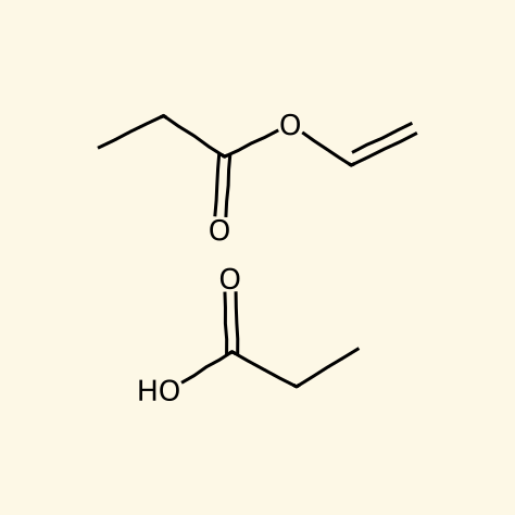 C=COC(=O)CC.CCC(=O)O